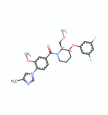 COc1cc(C(=O)N2CCC[C@H](Oc3cc(F)cc(F)c3)[C@@H]2CON)ccc1-n1cnc(C)c1